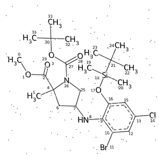 COC(=O)C1(C)CC(Nc2c(Br)cc(Cl)cc2O[Si](C)(C)C(C)(C)C)CN1C(=O)OC(C)(C)C